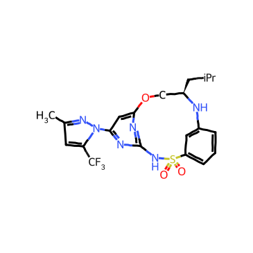 Cc1cc(C(F)(F)F)n(-c2cc3nc(n2)NS(=O)(=O)c2cccc(c2)N[C@H](CC(C)C)CO3)n1